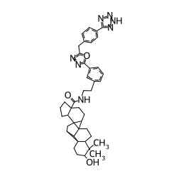 CC1(C)C(O)CCC23C4CC56C7CCCC7(C(=O)NCCc7cccc(-c8nnc(Cc9ccc(-c%10nn[nH]n%10)cc9)o8)c7)CCC5C6(CCC12)C43